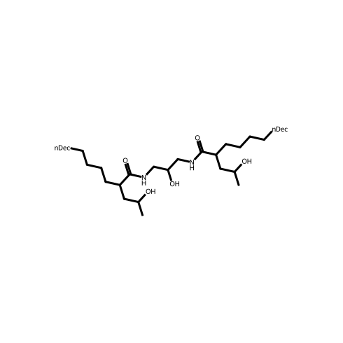 CCCCCCCCCCCCCCC(CC(C)O)C(=O)NCC(O)CNC(=O)C(CCCCCCCCCCCCCC)CC(C)O